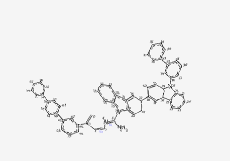 C=C(/C=C\N=C(/N)n1c2c(c3ccccc31)=CC(C1=CC3c4ccccc4N(c4cccc(-c5ccccc5)c4)C3C=C1)CC=2)c1cccc(-c2ccc(-c3ccccc3)cc2)c1